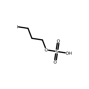 O=S(=O)(O)OCCCI